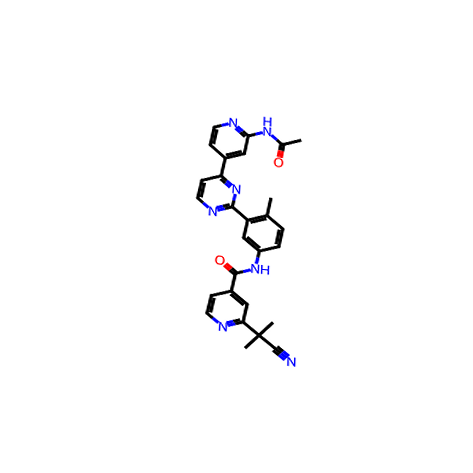 CC(=O)Nc1cc(-c2ccnc(-c3cc(NC(=O)c4ccnc(C(C)(C)C#N)c4)ccc3C)n2)ccn1